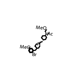 COCCN(C(C)=O)[C@H]1CC[C@H](CCN2CCC(Cc3cc(OC)ccc3Br)CC2)CC1